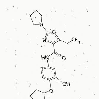 O=C(Nc1ccc(OC2CCCC2)c(O)c1)c1nc(N2CCCC2)oc1CC(F)(F)F